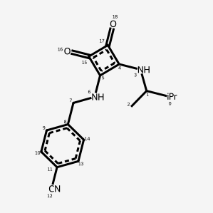 CC(C)C(C)Nc1c(NCc2ccc(C#N)cc2)c(=O)c1=O